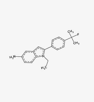 CCn1c(-c2ccc(C(C)(C)F)cc2)cc2cc(N)ccc21